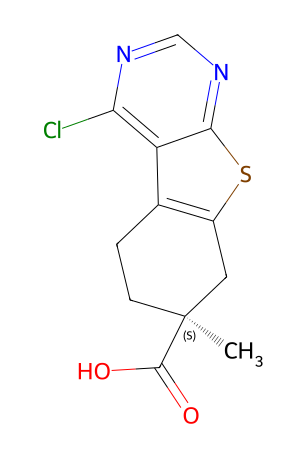 C[C@]1(C(=O)O)CCc2c(sc3ncnc(Cl)c23)C1